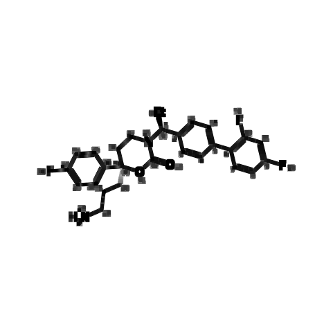 CC[C@@H](c1ccc(-c2ccc(F)cc2F)cc1)N1CC[C@](CCCN)(c2ccc(F)cc2)OC1=O